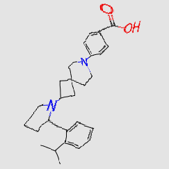 CC(C)c1ccccc1C1CCCN1C1CC2(CCN(c3ccc(C(=O)O)cc3)CC2)C1